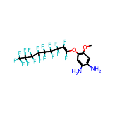 COc1cc(N)c(N)cc1OC(F)=C(F)C(F)(F)C(F)(F)C(F)(F)C(F)(F)C(F)(F)C(F)(F)C(F)(F)F